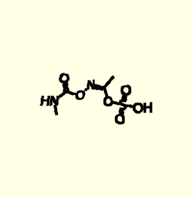 CNC(=O)ON=C(C)OS(=O)(=O)O